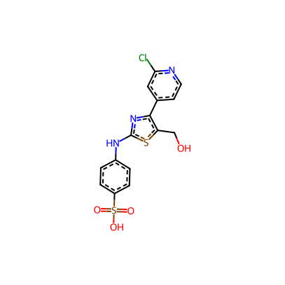 O=S(=O)(O)c1ccc(Nc2nc(-c3ccnc(Cl)c3)c(CO)s2)cc1